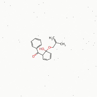 C=C(C)COC1(O)C=CC=CC1C(=O)c1ccccc1